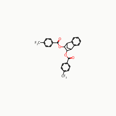 O=C(OC1C2CC(c3ccccc32)C1OC(=O)c1ccc(C(F)(F)F)cc1)c1ccc(C(F)(F)F)cc1